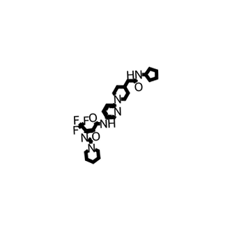 O=C(CC1CCN(c2ccc(NC(=O)c3oc(N4CCCCC4)nc3C(F)(F)F)cn2)CC1)NC1CCCC1